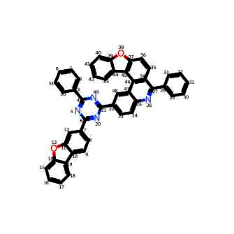 c1ccc(-c2nc(-c3ccc4c(c3)oc3ccccc34)nc(-c3ccc4nc(-c5ccccc5)c5ccc6oc7ccccc7c6c5c4c3)n2)cc1